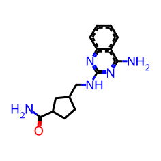 NC(=O)C1CCC(CNc2nc(N)c3ccccc3n2)C1